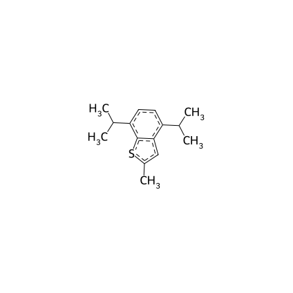 Cc1cc2c(C(C)C)ccc(C(C)C)c2s1